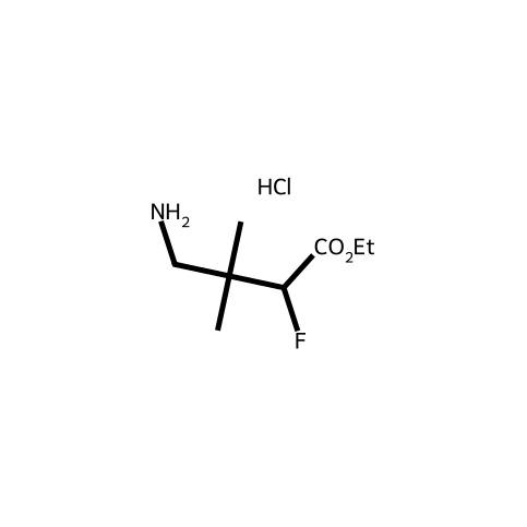 CCOC(=O)C(F)C(C)(C)CN.Cl